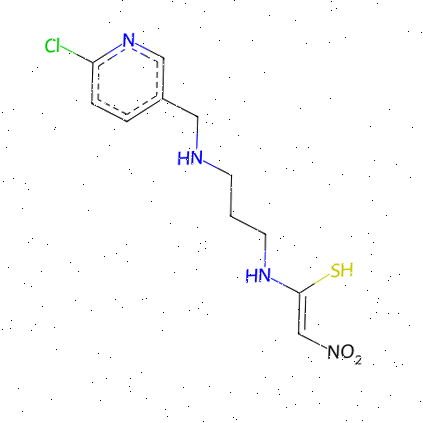 O=[N+]([O-])C=C(S)NCCCNCc1ccc(Cl)nc1